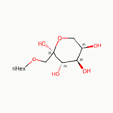 CCCCCCOC[C@@]1(O)OC[C@@H](O)[C@@H](O)[C@@H]1O